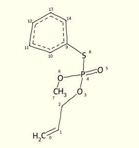 C=CCOP(=O)(OC)Sc1ccccc1